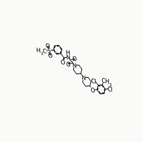 Cc1c(Cl)ccc(OC2CCN(C3CCN(S(=O)(=O)NC(=O)c4cccc(S(C)(=O)=O)c4)CC3)CC2)c1Cl